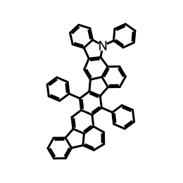 c1ccc(-c2c3cc4c5ccccc5c5cccc(c3c(-c3ccccc3)c3c6cccc7c6c(cc6c8ccccc8n(-c8ccccc8)c67)c23)c54)cc1